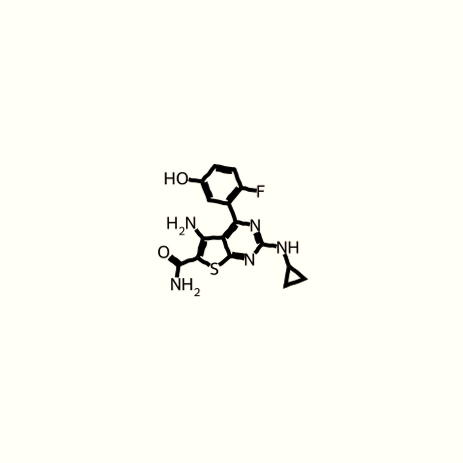 NC(=O)c1sc2nc(NC3CC3)nc(-c3cc(O)ccc3F)c2c1N